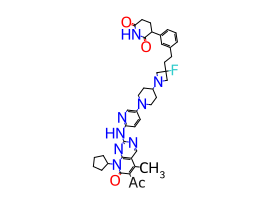 CC(=O)c1c(C)c2cnc(Nc3ccc(N4CCC(N5CC(F)(CCc6cccc(C7CCC(=O)NC7=O)c6)C5)CC4)cn3)nc2n(C2CCCC2)c1=O